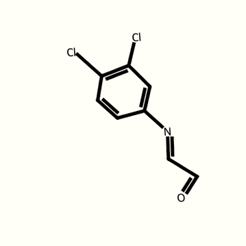 O=CC=Nc1ccc(Cl)c(Cl)c1